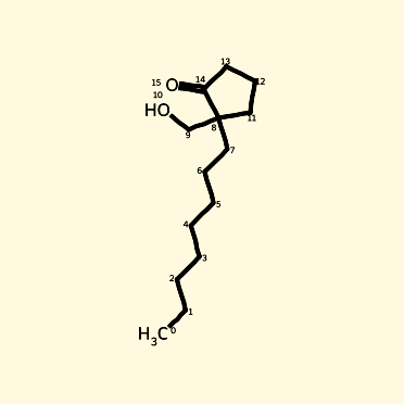 CCCCCCCCC1(CO)CCCC1=O